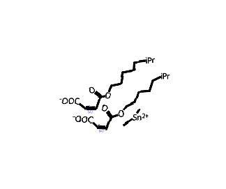 CC(C)CCCCCOC(=O)/C=C\C(=O)[O-].CC(C)CCCCCOC(=O)/C=C\C(=O)[O-].[CH3][Sn+2][CH3]